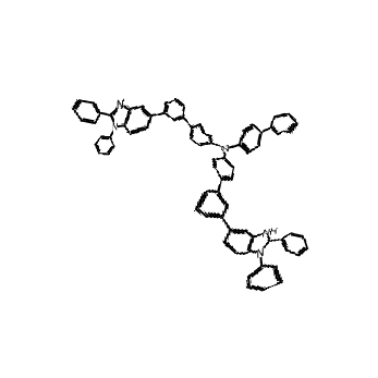 c1ccc(-c2ccc(N(c3ccc(-c4cccc(-c5ccc6c(c5)NC(c5ccccc5)N6c5ccccc5)c4)cc3)c3ccc(-c4cccc(-c5ccc6c(c5)nc(-c5ccccc5)n6-c5ccccc5)c4)cc3)cc2)cc1